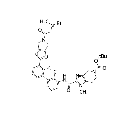 CCN(C)CC(=O)N1Cc2nc(-c3cccc(-c4cccc(NC(=O)c5nc6c(n5C)CCN(C(=O)OC(C)(C)C)C6)c4Cl)c3Cl)oc2C1